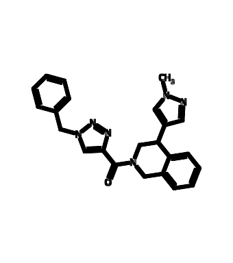 Cn1cc(C2CN(C(=O)c3cn(Cc4ccccc4)nn3)Cc3ccccc32)cn1